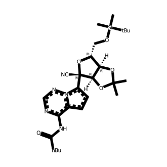 CCCCC(=O)Nc1ncnn2c([C@]3(C#N)O[C@H](CO[Si](C)(C)C(C)(C)C)[C@H]4OC(C)(C)O[C@H]43)ccc12